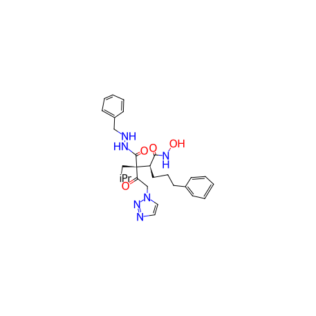 CC(C)C[C@@](C(=O)Cn1ccnn1)(C(=O)NNCc1ccccc1)[C@H](CCCc1ccccc1)C(=O)NO